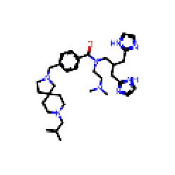 CC(C)CN1CCC2(CC1)CCN(Cc1ccc(C(=O)N(CCN(C)C)CC(Cc3ncc[nH]3)Cc3ncc[nH]3)cc1)C2